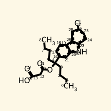 CCCCC(CCCC)(OC(=O)CC(=O)O)c1ccc2c(c1)[nH]c1ccc(Cl)cc12